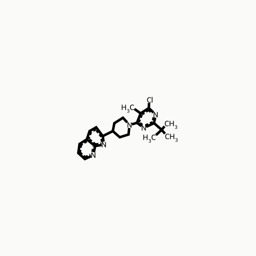 Cc1c(Cl)nc(C(C)(C)C)nc1N1CCC(c2ccc3cccnc3n2)CC1